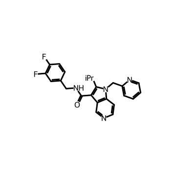 CC(C)c1c(C(=O)NCc2ccc(F)c(F)c2)c2cnccc2n1Cc1ccccn1